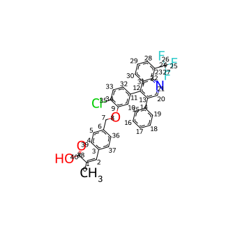 CC(=Cc1ccc(COc2cc(-c3c(-c4ccccc4)cnc4c(C(F)(F)F)cccc34)ccc2Cl)cc1)C(=O)O